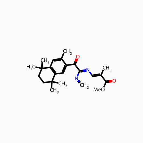 C=N/C(=N\C=C(/C)C(=O)OC)C(=O)c1cc2c(cc1C)C(C)(C)CCC2(C)C